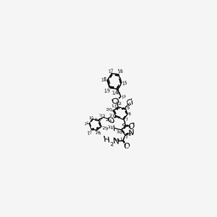 NC(=O)c1noc(-c2cc(Cl)c(OCc3ccccc3)cc2OCc2ccccc2)c1I